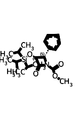 COC(=O)N1C(=O)[C@H](O[Si](C(C)C)(C(C)C)C(C)C)[C@@H]1c1ccccc1